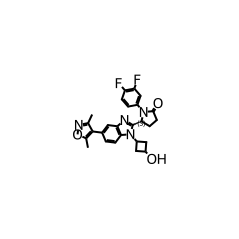 Cc1noc(C)c1-c1ccc2c(c1)nc([C@@H]1CCC(=O)N1c1ccc(F)c(F)c1)n2C1CC(O)C1